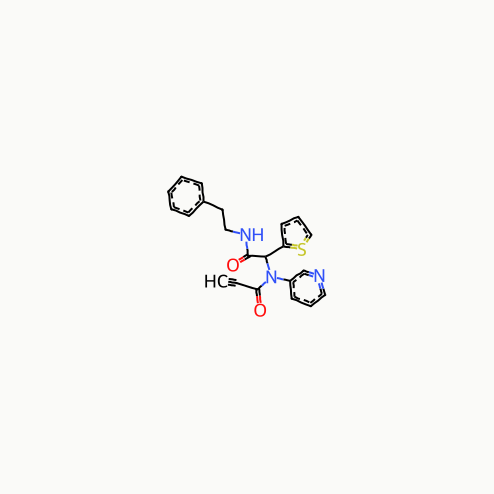 C#CC(=O)N(c1cccnc1)C(C(=O)NCCc1ccccc1)c1cccs1